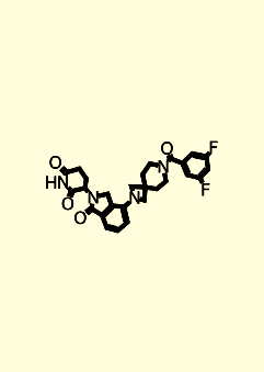 O=C1CCC(N2Cc3c(cccc3N3CC4(CCN(C(=O)c5cc(F)cc(F)c5)CC4)C3)C2=O)C(=O)N1